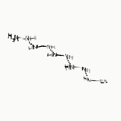 CCNNNNNNNNN